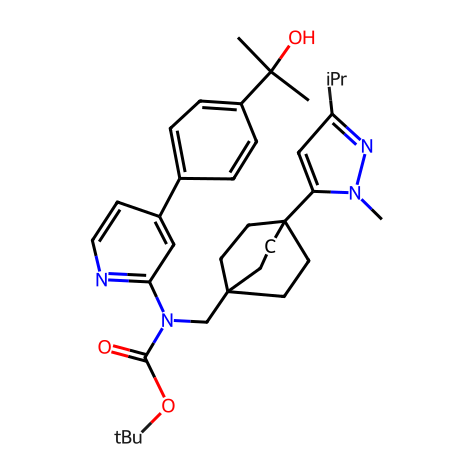 CC(C)c1cc(C23CCC(CN(C(=O)OC(C)(C)C)c4cc(-c5ccc(C(C)(C)O)cc5)ccn4)(CC2)CC3)n(C)n1